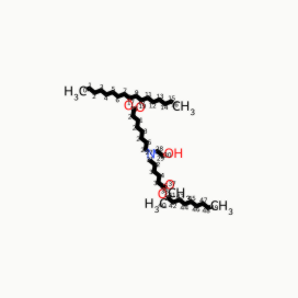 CCCCCCCCC(CCCCCCCC)OC(=O)CCCCCCCN(CCO)CCCCCC(=O)OC(C)(C)CCCCCCCC